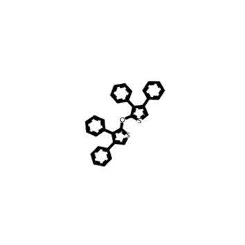 c1ccc(-c2csc(Oc3scc(-c4ccccc4)c3-c3ccccc3)c2-c2ccccc2)cc1